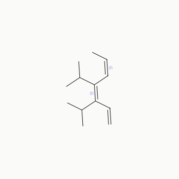 C=C/C(=C(\C=C/C)C(C)C)C(C)C